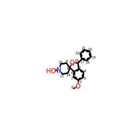 COc1ccc2c(c1)C1(CCN(O)CC1)OC2c1ccccc1